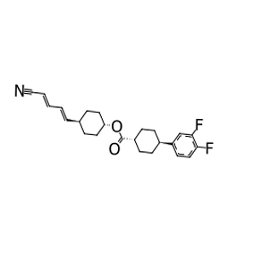 N#CC=CC=C[C@H]1CC[C@H](OC(=O)[C@H]2CC[C@H](c3ccc(F)c(F)c3)CC2)CC1